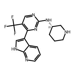 FC(F)(F)c1cnc(N[C@H]2CCCNC2)nc1-c1c[nH]c2ncccc12